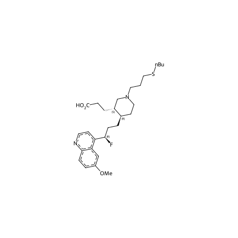 CCCCSCCCN1CC[C@@H](CC[C@@H](F)c2ccnc3ccc(OC)cc23)[C@H](CCC(=O)O)C1